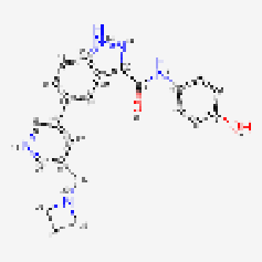 O=C(Nc1ccc(O)cc1)c1n[nH]c2ccc(-c3cncc(CN4CCC4)c3)cc12